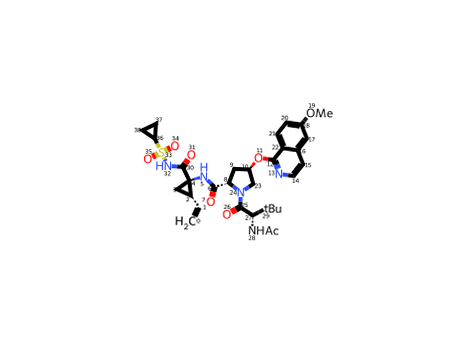 C=C[C@@H]1C[C@]1(NC(=O)[C@@H]1C[C@@H](Oc2nccc3cc(OC)ccc23)CN1C(=O)[C@@H](NC(C)=O)C(C)(C)C)C(=O)NS(=O)(=O)C1CC1